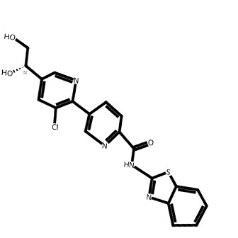 O=C(Nc1nc2ccccc2s1)c1ccc(-c2ncc([C@H](O)CO)cc2Cl)cn1